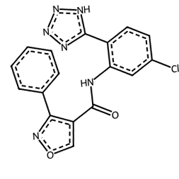 O=C(Nc1cc(Cl)ccc1-c1nnn[nH]1)c1conc1-c1ccccc1